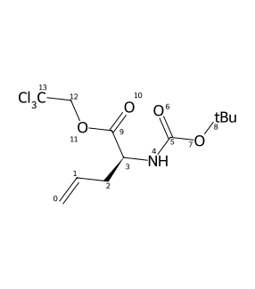 C=CC[C@H](NC(=O)OC(C)(C)C)C(=O)OCC(Cl)(Cl)Cl